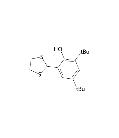 CC(C)(C)c1cc(C2SCCS2)c(O)c(C(C)(C)C)c1